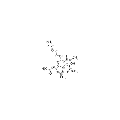 CC(=O)OCC1OC(OCCOCCN)C(NC(C)O)C(OC(C)=O)C1OC(C)=O